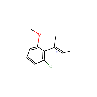 C/C=C(\C)c1c(Cl)cccc1OC